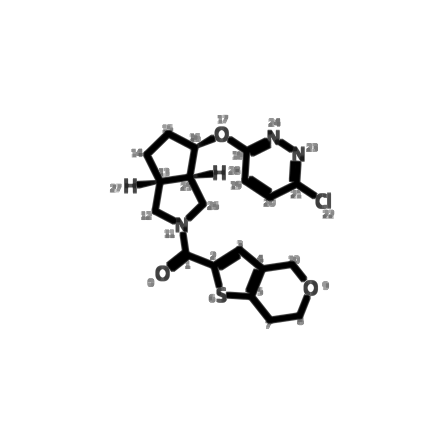 O=C(c1cc2c(s1)CCOC2)N1C[C@@H]2CC[C@@H](Oc3ccc(Cl)nn3)[C@@H]2C1